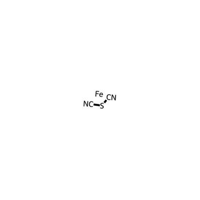 N#CSC#N.[Fe]